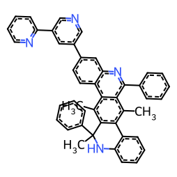 Cc1c2c(c(C)c3c1c(-c1ccccc1)nc1cc(-c4cncc(-c5ccccn5)c4)ccc13)C(C)(c1ccccc1)Nc1ccccc1-2